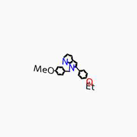 CCOc1ccc(-c2cc3cccnc3n2Cc2ccc(OC)cc2)cc1